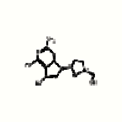 CCc1cn([C@H]2CC[C@@H](CO)O2)c2nc(N)nc(Cl)c12